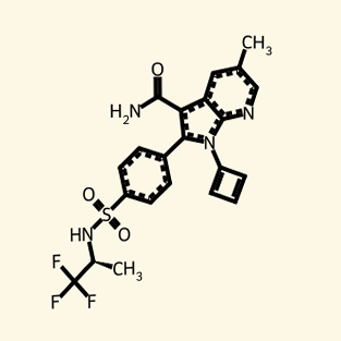 Cc1cnc2c(c1)c(C(N)=O)c(-c1ccc(S(=O)(=O)N[C@@H](C)C(F)(F)F)cc1)n2C1=CC=C1